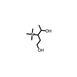 [CH2]C(O)C(CCO)[N+](C)(C)C